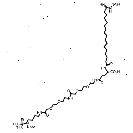 CCC(C)(C)[C@H](CCCCNC(=O)COCCOCCNC(=O)COCCOCCNC(=O)CCC(NC(=O)CCCCCCCCCCCCCCCC(=N)NN=N)C(=O)O)NC